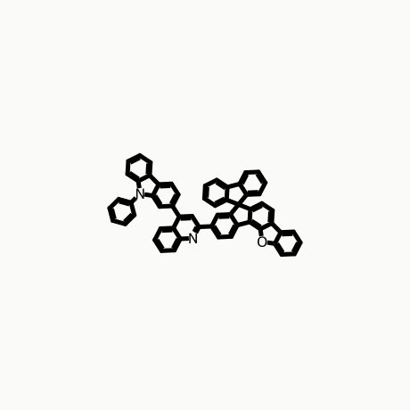 c1ccc(-n2c3ccccc3c3ccc(-c4cc(-c5ccc6c(c5)C5(c7ccccc7-c7ccccc75)c5ccc7c(oc8ccccc87)c5-6)nc5ccccc45)cc32)cc1